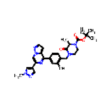 Cc1cc(-c2nc(-c3cnn(C)c3)cn3nccc23)ccc1CN1CCN(C(=O)OC(C)(C)C)C(C)C1=O